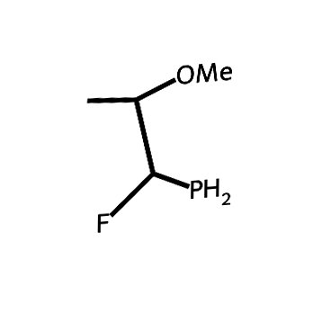 COC(C)C(F)P